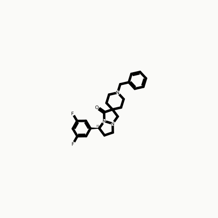 O=C1N2[C@H](c3cc(F)cc(F)c3)CCN2CC12CCN(Cc1ccccc1)CC2